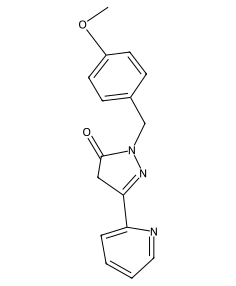 COc1ccc(CN2N=C(c3ccccn3)CC2=O)cc1